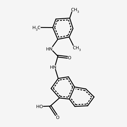 Cc1cc(C)c(NC(=O)Nc2cc(C(=O)O)c3ccccc3c2)c(C)c1